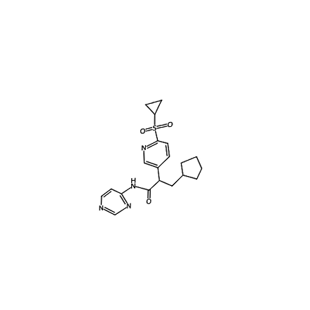 O=C(Nc1ccncn1)C(CC1CCCC1)c1ccc(S(=O)(=O)C2CC2)nc1